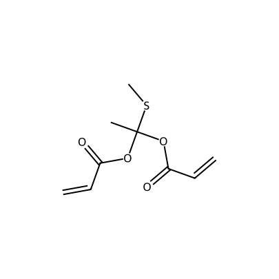 C=CC(=O)OC(C)(OC(=O)C=C)SC